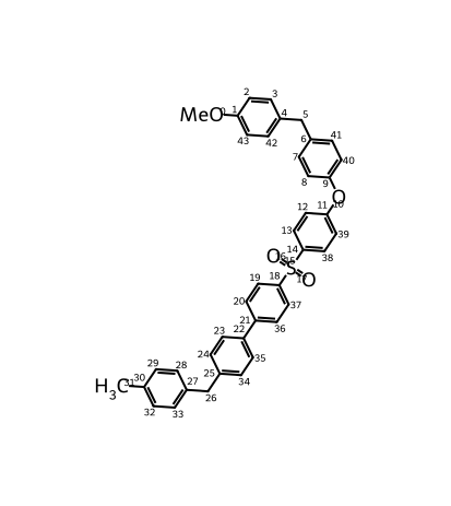 COc1ccc(Cc2ccc(Oc3ccc(S(=O)(=O)c4ccc(-c5ccc(Cc6ccc(C)cc6)cc5)cc4)cc3)cc2)cc1